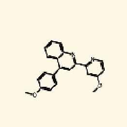 COc1ccc(-c2cc(-c3cc(OC)ccn3)nc3ccccc23)cc1